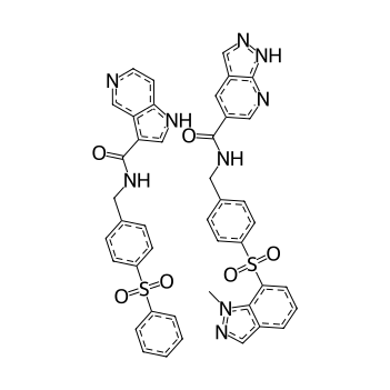 Cn1ncc2cccc(S(=O)(=O)c3ccc(CNC(=O)c4cnc5[nH]ncc5c4)cc3)c21.O=C(NCc1ccc(S(=O)(=O)c2ccccc2)cc1)c1c[nH]c2ccncc12